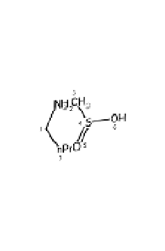 CCCCN.CS(=O)O